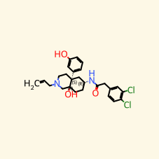 C=CCN1CC[C@@]2(c3cccc(O)c3)C[C@H](NC(=O)Cc3ccc(Cl)c(Cl)c3)CC[C@]2(O)C1